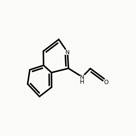 O=[C]Nc1nccc2ccccc12